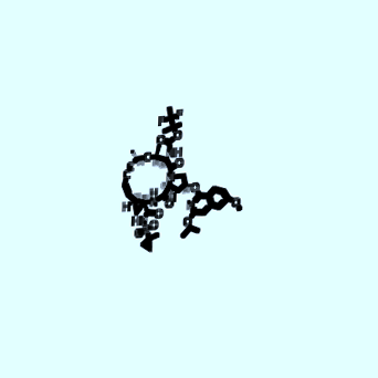 COc1ccc2c(O[C@@H]3C[C@H]4C(=O)N[C@]5(C(=O)NS(=O)(=O)C6(C)CC6)C[C@H]5C=CCC[C@H](C)C[C@@H](C)[C@H](NC(=O)OC(C)(C)C(C)(F)F)C(=O)N4C3)nc(OC(C)C)cc2c1